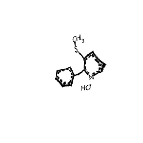 CSc1cccnc1-c1ccccc1.Cl